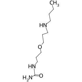 CCCCNCCCOCCCNC(N)=O